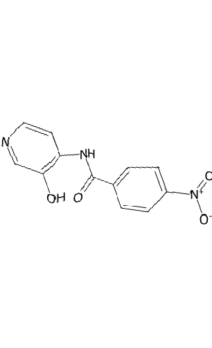 O=C(Nc1ccncc1O)c1ccc([N+](=O)[O-])cc1